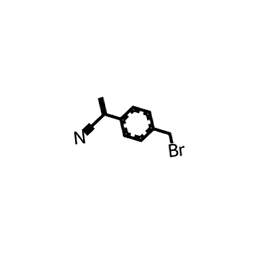 C=C(C#N)c1ccc(CBr)cc1